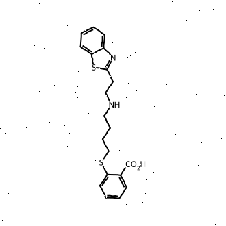 O=C(O)c1ccccc1SCCCCNCCc1nc2ccccc2s1